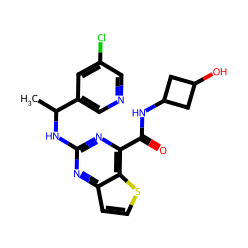 CC(Nc1nc(C(=O)NC2CC(O)C2)c2sccc2n1)c1cncc(Cl)c1